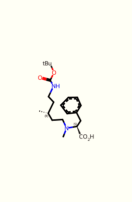 C[C@H](CCNC(=O)OC(C)(C)C)CCN(C)[C@@H](Cc1ccccc1)C(=O)O